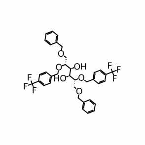 O[C@@H]([C@H](O)[C@@H](COCc1ccccc1)OCc1ccc(C(F)(F)F)cc1)[C@@H](COCc1ccccc1)OCc1ccc(C(F)(F)F)cc1